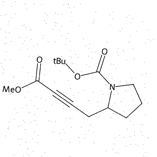 COC(=O)C#CCC1CCCN1C(=O)OC(C)(C)C